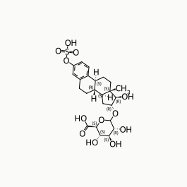 C[C@]12CC[C@@H]3c4ccc(OS(=O)(=O)O)cc4CC[C@H]3[C@@H]1C[C@@H](OC1O[C@H](C(=O)O)[C@@H](O)[C@H](O)[C@H]1O)[C@@H]2O